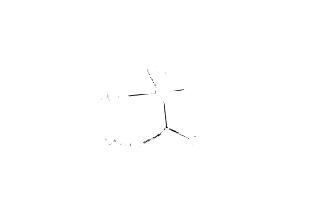 COC(C=O)[N+](C)(C)C